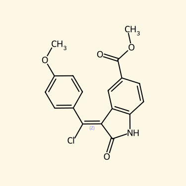 COC(=O)c1ccc2c(c1)/C(=C(/Cl)c1ccc(OC)cc1)C(=O)N2